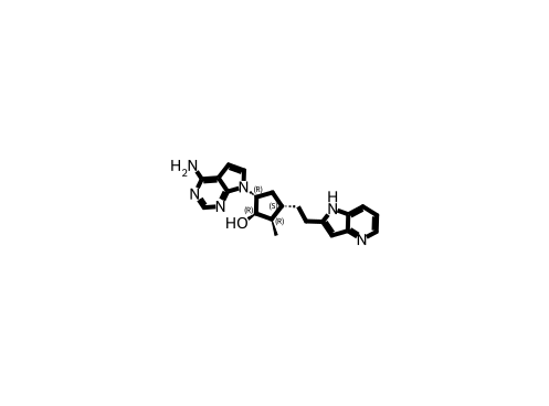 C[C@@H]1[C@@H](CCc2cc3ncccc3[nH]2)C[C@@H](n2ccc3c(N)ncnc32)[C@@H]1O